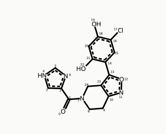 O=C(c1c[nH]cn1)N1CCc2noc(-c3cc(Cl)c(O)cc3O)c2C1